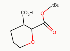 CC(C)(C)OC(=O)C1OCCCC1C(=O)O